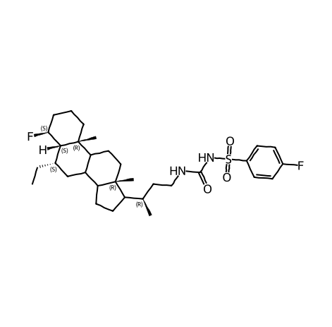 CC[C@H]1CC2C3CCC([C@H](C)CCNC(=O)NS(=O)(=O)c4ccc(F)cc4)[C@@]3(C)CCC2[C@@]2(C)CCC[C@H](F)[C@@H]12